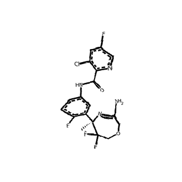 C[C@]1(c2cc(NC(=O)c3ncc(F)cc3Cl)ccc2F)N=C(N)COCC1(F)F